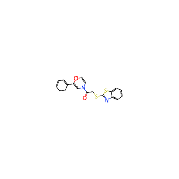 O=C(CSc1nc2ccccc2s1)N1C=COC(C2=CC=CCC2)=C1